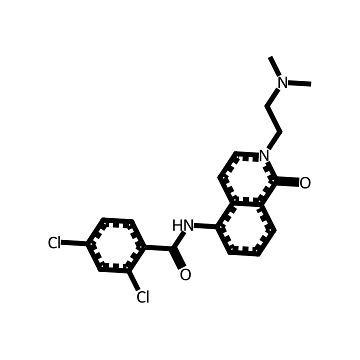 CN(C)CCn1ccc2c(NC(=O)c3ccc(Cl)cc3Cl)cccc2c1=O